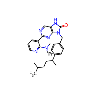 CC(CCC(C)C(F)(F)F)c1ccc(Cn2c(=O)[nH]c3cnc(-c4cccnc4N(C)C(C)C)nc32)cc1